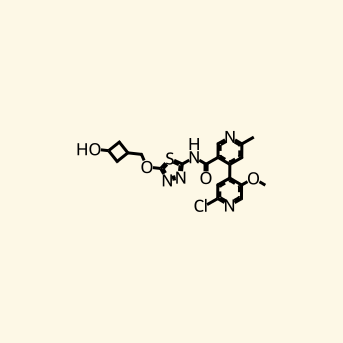 COc1cnc(Cl)cc1-c1cc(C)ncc1C(=O)Nc1nnc(OCC2CC(O)C2)s1